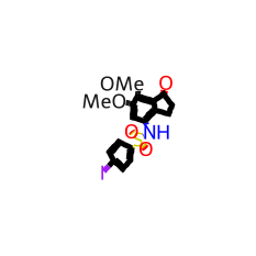 COc1cc(NS(=O)(=O)c2ccc(I)cc2)c2c(c1OC)C(=O)CC2